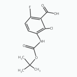 CC(C)(C)OC(=O)Nc1ccc(F)c(C(=O)O)c1Cl